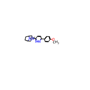 COc1ccc(-c2ccc(N3CC4CCC(C3)N4C)nn2)cc1